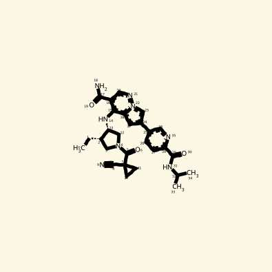 CC[C@H]1CN(C(=O)C2(C#N)CC2)C[C@H]1Nc1c(C(N)=O)cnn2cc(-c3ccc(C(=O)NC(C)C)nc3)cc12